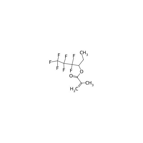 C=C(C)C(=O)OC(CC)C(F)(F)C(F)(F)C(F)(F)F